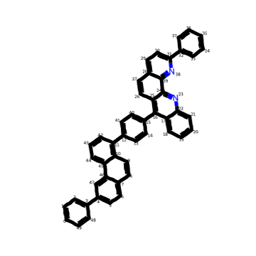 c1ccc(-c2ccc3ccc4c(-c5ccc(-c6c7ccccc7nc7c6ccc6ccc(-c8ccccc8)nc67)cc5)cccc4c3c2)cc1